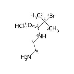 CC(C)(Br)C(=O)NCCN.Cl